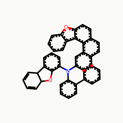 C1=CC2Oc3c(cccc3N(c3ccc4ccc5ccc6oc7ccccc7c6c5c4c3)c3ccccc3-c3ccccc3)C2C=C1